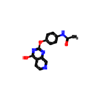 CC(=O)Nc1ccc(Oc2nc(O)c3ccncc3n2)cc1